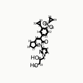 O=C(Nc1ccn(C[C@H](O)CO)n1)C(=CC1CCCC1)c1ccc(S(=O)(=O)C2CC2)c(C2CC2)c1